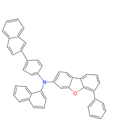 c1ccc(-c2cccc3c2oc2cc(N(c4ccc(-c5ccc6ccccc6c5)cc4)c4cccc5ccccc45)ccc23)cc1